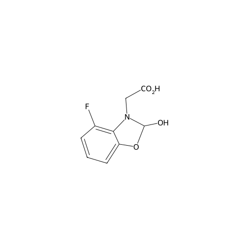 O=C(O)CN1c2c(F)cccc2OC1O